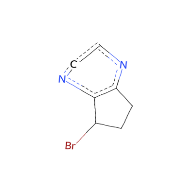 BrC1CCc2nccnc21